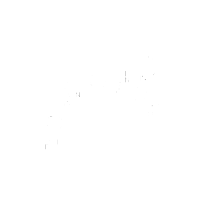 COC(=O)c1ccc(NC(=O)Cc2ccc(-c3cccc(OCc4ccc(C(F)(F)F)cc4F)n3)cc2)c(NC[C@@H]2CCO2)c1